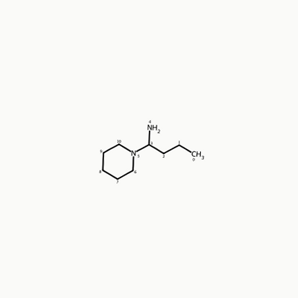 CCCC(N)N1CCCCC1